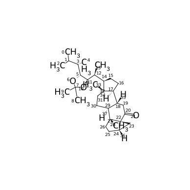 CC(C)[C@H](C)[C@H]1OC(C)(C)O[C@@H]1[C@@H](C)[C@H]1CC[C@H]2[C@@H]3CC(=O)[C@]45C[C@@H]4CC[C@]5(C)[C@H]3CC[C@]12C